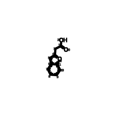 O=C(O)Cc1cc2ccccc2o1